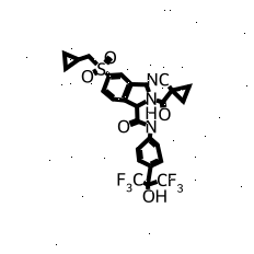 N#CC1(C(=O)N2Cc3cc(S(=O)(=O)CC4CC4)ccc3C2C(=O)Nc2ccc(C(O)(C(F)(F)F)C(F)(F)F)cc2)CC1